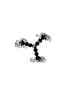 C=C(C)c1cc(-c2ccc(-c3ccc(-c4nc(-c5ccc(-c6ccc(-c7cc(C(C)(C)C)c(OC)c(C(C)(C)C)c7)cc6)cc5)nc(-c5ccc(-c6ccc(-c7cc(C(C)(C)C)c(OC)c(C(C)(C)C)c7)cc6)cc5)n4)cc3)cc2)cc(C(C)(C)C)c1OC